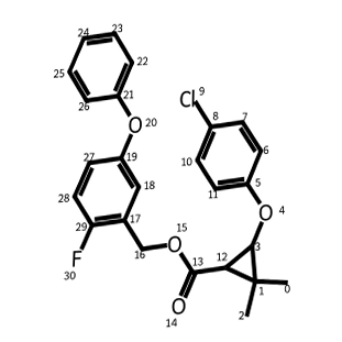 CC1(C)C(Oc2ccc(Cl)cc2)C1C(=O)OCc1cc(Oc2ccccc2)ccc1F